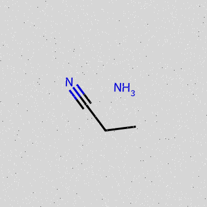 CCC#N.N